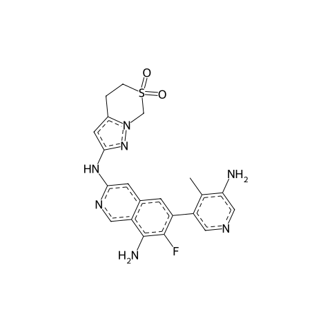 Cc1c(N)cncc1-c1cc2cc(Nc3cc4n(n3)CS(=O)(=O)CC4)ncc2c(N)c1F